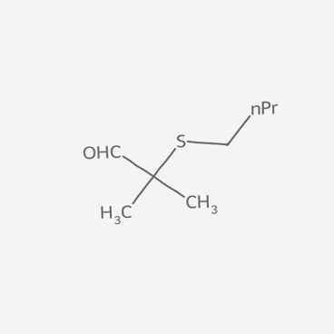 CCCCSC(C)(C)C=O